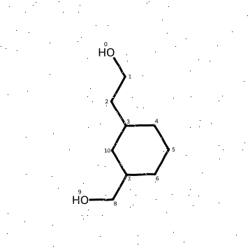 OCCC1CCCC(CO)C1